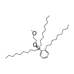 CCCCCCCCCc1ccccc1[Si](CCCCCCCCC)(CCCCCCCCC)OCCOC